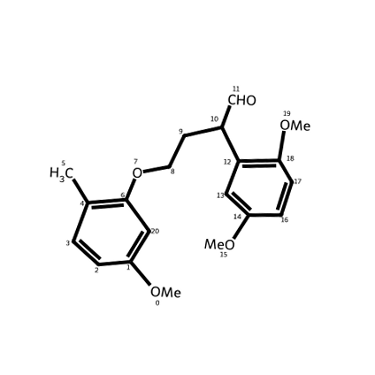 COc1ccc(C)c(OCCC(C=O)c2cc(OC)ccc2OC)c1